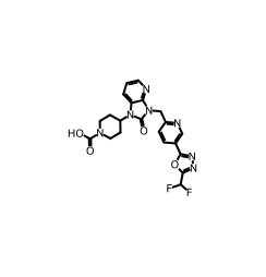 O=C(O)N1CCC(n2c(=O)n(Cc3ccc(-c4nnc(C(F)F)o4)cn3)c3ncccc32)CC1